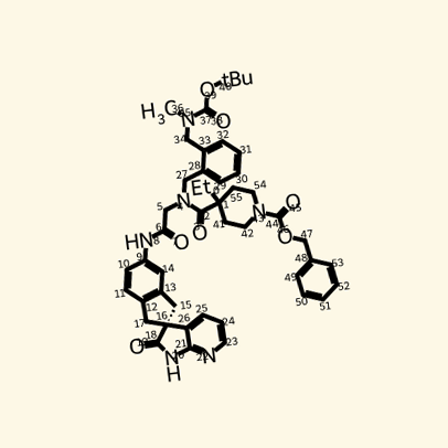 CCC1(C(=O)N(CC(=O)Nc2ccc3c(c2)C[C@@]2(C3)C(=O)Nc3ncccc32)Cc2ccccc2CN(C)C(=O)OC(C)(C)C)CCN(C(=O)OCc2ccccc2)CC1